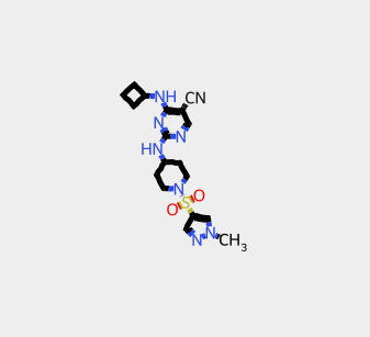 Cn1cc(S(=O)(=O)N2CCC(Nc3ncc(C#N)c(NC4CCC4)n3)CC2)cn1